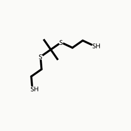 CC(C)(SCCS)SCCS